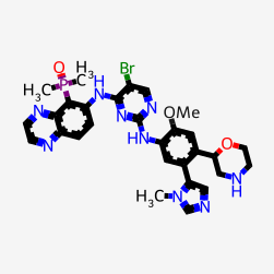 COc1cc(C2CNCCO2)c(-c2cncn2C)cc1Nc1ncc(Br)c(Nc2ccc3nccnc3c2P(C)(C)=O)n1